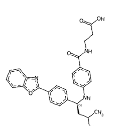 CC(C)C[C@H](Nc1ccc(C(=O)NCCC(=O)O)cc1)c1ccc(-c2nc3ccccc3o2)cc1